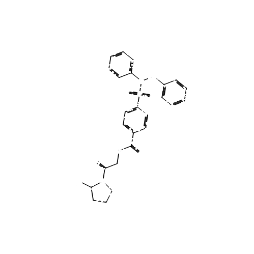 O=C(NCC(=O)N1CCCC1C(=O)O)c1ccc(S(=O)(=O)N(Oc2ccccc2)c2ccccc2)cc1